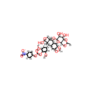 COc1cc([C@@H]2c3cc4c(cc3[C@@H](OC3OC5COC(C)OC5C(O)C3O)[C@H]3COC(O)[C@H]23)OCO4)cc(OC)c1OC(=O)Oc1ccc([N+](=O)[O-])cc1